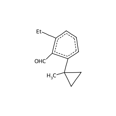 CCc1cccc(C2(C)CC2)c1C=O